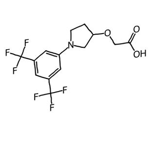 O=C(O)COC1CCN(c2cc(C(F)(F)F)cc(C(F)(F)F)c2)C1